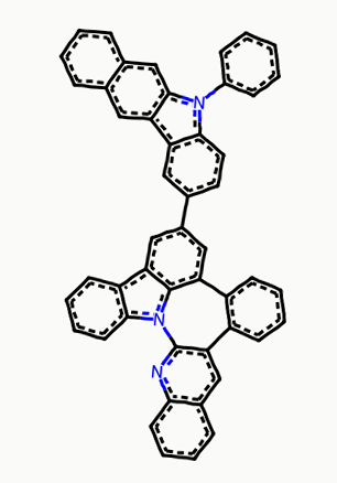 c1ccc(-n2c3ccc(-c4cc5c6c(c4)c4ccccc4n6-c4nc6ccccc6cc4-c4ccccc4-5)cc3c3cc4ccccc4cc32)cc1